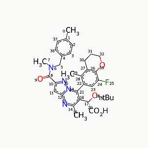 Cc1ccc(CN(C)C(=O)c2cc3nc(C)c([C@H](OC(C)(C)C)C(=O)O)c(-c4cc(F)c5c(c4C)CCCO5)n3n2)cc1